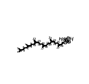 CC(C)=CCC/C(C)=C/CC/C(C)=C\CC/C(C)=C\CC/C(C)=C\CC/C(C)=C\COP(=O)(O)O